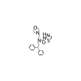 O=C(Nc1nccs1)N(CCC(c1ccccc1)c1ccccc1)CCN1CCOCC1